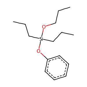 CCCO[Si](CCC)(CCC)Oc1ccccc1